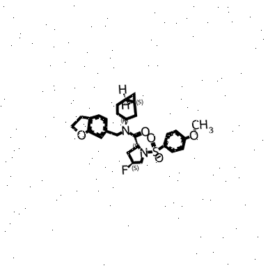 COc1ccc(S(=O)(=O)N2C[C@@H](F)C[C@H]2C(=O)N(Cc2ccc3c(c2)OCC3)[C@@H]2CC[C@H]3C[C@H]3C2)cc1